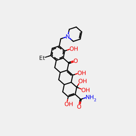 CCc1cc(CN2CC=CCC2)c(O)c2c1CC1CC3CC(O)=C(C(N)=O)C(O)(O)C3C(O)=C1C2=O